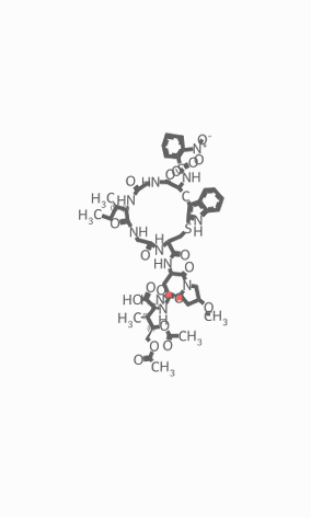 CC[C@H](C)[C@@H]1NC(=O)CNC(=O)C(NS(=O)(=O)c2ccccc2[N+](=O)[O-])Cc2c([nH]c3ccccc23)SCC(C(=O)NC(CC(N)=O)C(=O)N2CC(OC)C[C@H]2C(=O)N[C@H](C(=O)O)[C@@H](C)[C@H](COC(C)=O)OC(C)=O)NC(=O)CNC1=O